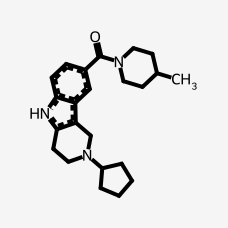 CC1CCN(C(=O)c2ccc3[nH]c4c(c3c2)CN(C2CCCC2)CC4)CC1